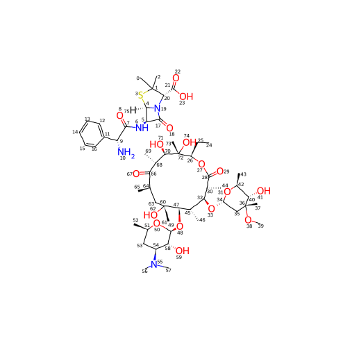 CC1(C)S[C@@H]2[C@H](NC(=O)[C@H](N)c3ccccc3)C(=O)N2[C@H]1C(=O)O.CC[C@H]1OC(=O)[C@H](C)[C@@H](O[C@H]2C[C@@](C)(OC)[C@@H](O)[C@H](C)O2)[C@H](C)[C@@H](O[C@@H]2O[C@H](C)C[C@H](N(C)C)[C@H]2O)[C@](C)(O)C[C@@H](C)C(=O)[C@H](C)[C@@H](O)[C@]1(C)O